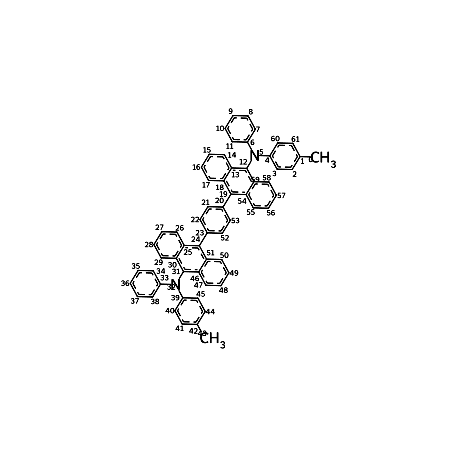 Cc1ccc(N(c2ccccc2)c2c3ccccc3c(-c3ccc(-c4c5ccccc5c(N(c5ccccc5)c5ccc(C)cc5)c5ccccc45)cc3)c3ccccc23)cc1